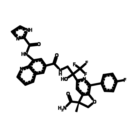 C[C@]1(C(N)=O)COc2c1cc(C(O)(CNC(=O)c1cc(NC(=O)c3ncc[nH]3)c3ncccc3c1)C(F)(F)F)nc2-c1ccc(F)cc1